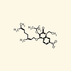 CCn1c(=O)c(OC(C)C)c(OCC=C(C)CCC=C(C)C)c2ccc([N+](=O)[O-])cc21